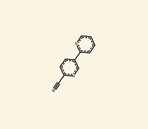 N#Cc1ccc(-c2ccc[c]n2)cn1